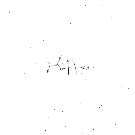 O=S(=O)(O)C(F)(F)C(F)(F)OC(F)=C(F)F